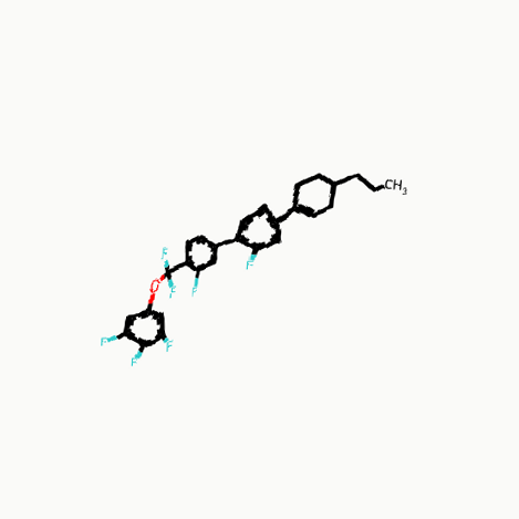 CCCC1CC=C(c2ccc(-c3ccc(C(F)(F)Oc4cc(F)c(F)c(F)c4)c(F)c3)c(F)c2)CC1